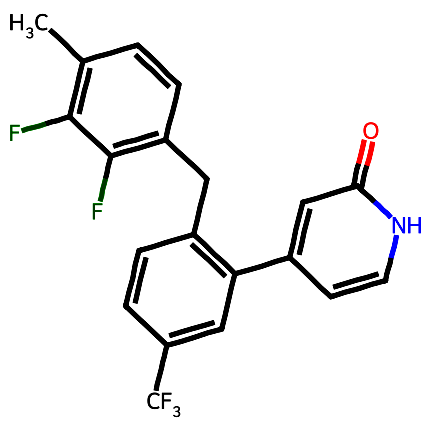 Cc1ccc(Cc2ccc(C(F)(F)F)cc2-c2cc[nH]c(=O)c2)c(F)c1F